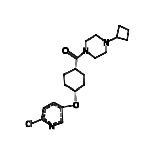 O=C([C@H]1CC[C@@H](Oc2ccc(Cl)nc2)CC1)N1CCN(C2CCC2)CC1